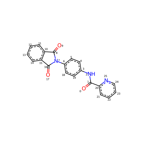 O=C(Nc1ccc(N2C(=O)c3ccccc3C2=O)cc1)c1ccccn1